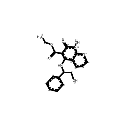 CCOC(=O)c1c(N[C@@H](CO)c2ccccc2)c2cccnc2n(O)c1=O